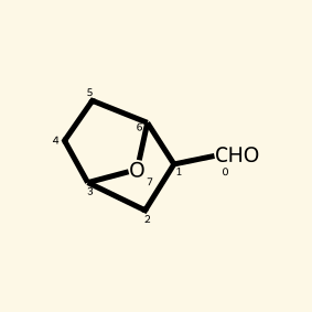 O=CC1CC2CCC1O2